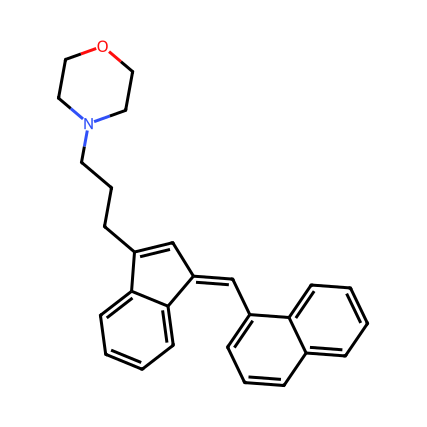 C1=C(CCCN2CCOCC2)c2ccccc2/C1=C\c1cccc2ccccc12